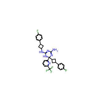 NC1=NC(c2cccc(C(F)(F)F)n2)(C2CC(c3ccc(F)cc3)C2)NC(NC2CC(c3ccc(F)cc3)C2)=N1